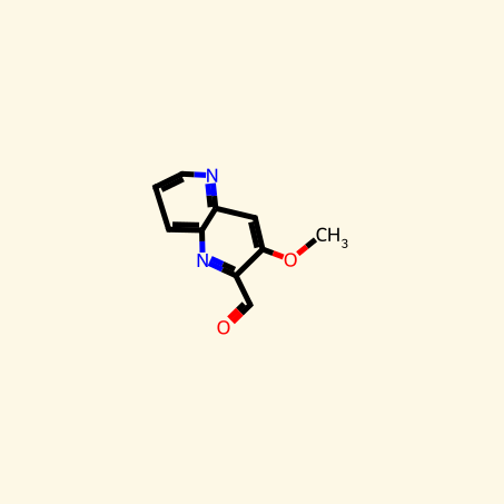 COc1cc2ncccc2nc1C=O